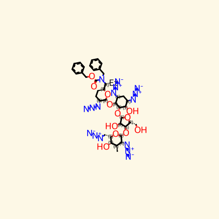 CC[C@H]([C@@H]1CC[C@@H](N=[N+]=[N-])[C@@H](O[C@H]2[C@H](O[C@@H]3O[C@H](CO)[C@@H](O[C@H]4O[C@@H](CN=[N+]=[N-])[C@@H](O)[C@H](C)[C@H]4N=[N+]=[N-])[C@H]3O)[C@@H](O)[C@H](N=[N+]=[N-])C[C@@H]2N=[N+]=[N-])O1)N(Cc1ccccc1)C(=O)OCc1ccccc1